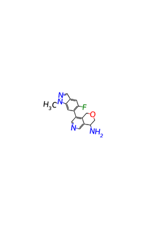 Cn1ncc2cc(F)c(-c3cncc4c3COCC4N)cc21